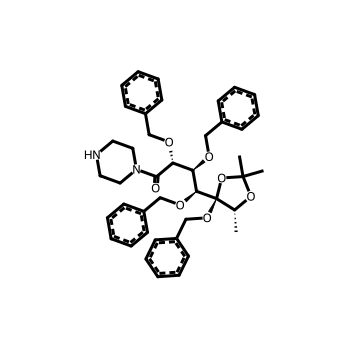 C[C@H]1OC(C)(C)O[C@@]1(OCc1ccccc1)[C@@H](OCc1ccccc1)[C@H](OCc1ccccc1)[C@@H](OCc1ccccc1)C(=O)N1CCNCC1